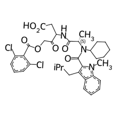 CC(C)Cc1c(C(=O)N(C2CCCCC2)[C@@H](C)C(=O)NC(CC(=O)O)C(=O)COC(=O)c2c(Cl)cccc2Cl)n(C)c2ccccc12